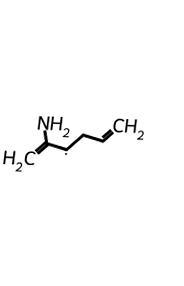 C=CC[CH]C(=C)N